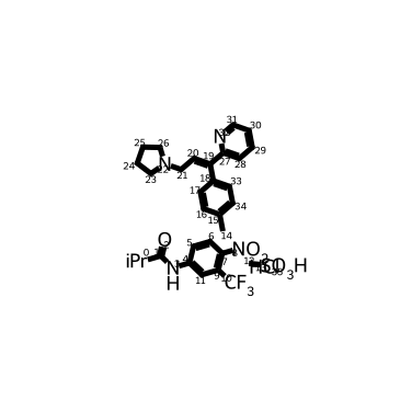 CC(C)C(=O)Nc1ccc([N+](=O)[O-])c(C(F)(F)F)c1.CS(=O)(=O)O.Cc1ccc(/C(=C\CN2CCCC2)c2ccccn2)cc1.Cl